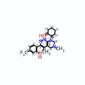 Cc1c(-c2ccc(C(F)(F)F)cc2O)nnc2c1CN(C)CN2[C@@H]1CCCC[C@H]1O